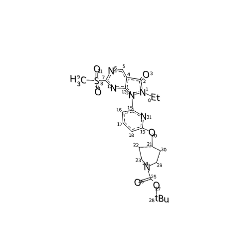 CCn1c(=O)c2cnc(S(C)(=O)=O)nc2n1-c1cccc(OC2CCN(C(=O)OC(C)(C)C)CC2)n1